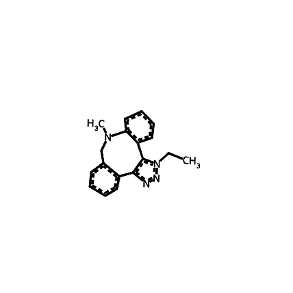 CCn1nnc2c1-c1ccccc1N(C)Cc1ccccc1-2